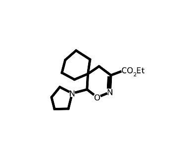 CCOC(=O)C1=NOC(N2CCCC2)C2(CCCCC2)C1